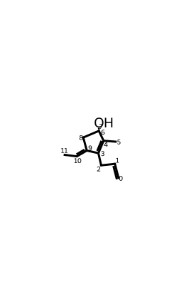 C=CCC1=C(C)[C@@H](O)CC1=CC